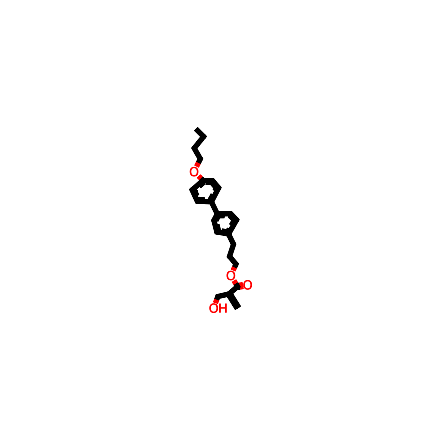 C=C(CO)C(=O)OCCCc1ccc(-c2ccc(OCCCC)cc2)cc1